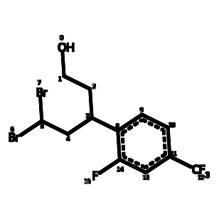 OCCC(CC(Br)Br)c1ccc(C(F)(F)F)cc1F